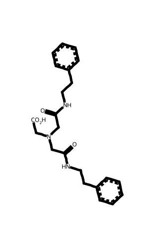 O=C(O)CN(CC(=O)NCCc1ccccc1)CC(=O)NCCc1ccccc1